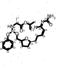 CC(C)OC(=O)[C@@H](C)NP(OCC1CC[C@H](CC/C=C\C(N)=N/C(N)=O)O1)Oc1ccccc1